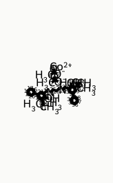 CC(=O)[O-].CC(=O)[O-].CC(C)(C)c1cc(-c2ccccc2)cc(C=NCCCN=Cc2cc(-c3ccccc3)cc(C(C)(C)C)c2O)c1O.[Co+2]